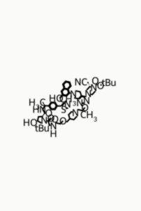 Cc1ncsc1-c1ccc([C@H](C)NC(=O)[C@@H]2C[C@@H](O)CN2C(=O)[C@@H](NC(=O)COCC2CCN(C[C@@H](C)Oc3nc4c(c(N5CCN(C(=O)OC(C)(C)C)[C@@H](CC#N)C5)n3)CCN(c3cc(O)cc5ccccc35)C4)CC2)C(C)(C)C)cc1